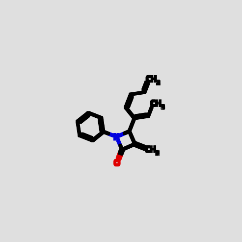 C=C/C=C\C(=C/C)C1C(=C)C(=O)N1c1ccccc1